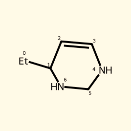 CCC1C=CNCN1